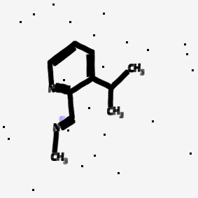 C/N=C/c1ncccc1C(C)C